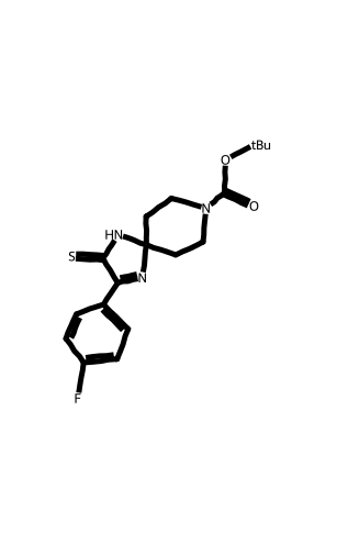 CC(C)(C)OC(=O)N1CCC2(CC1)N=C(c1ccc(F)cc1)C(=S)N2